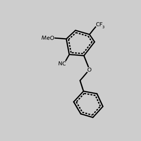 COc1cc(C(F)(F)F)cc(OCc2ccccc2)c1C#N